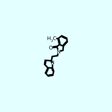 Cc1cccc2c1C(=O)N(CCc1ccc3ccccc3n1)C2